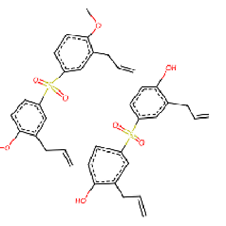 C=CCc1cc(S(=O)(=O)c2ccc(O)c(CC=C)c2)ccc1O.C=CCc1cc(S(=O)(=O)c2ccc(OC)c(CC=C)c2)ccc1OC